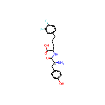 N[C@@H](Cc1ccc(O)cc1)C(=O)NC(CCCc1ccc(F)c(F)c1)C(=O)O